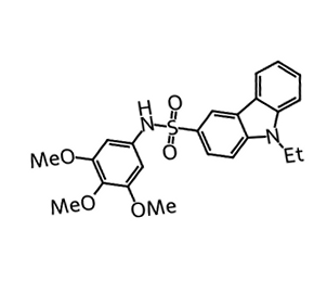 CCn1c2ccccc2c2cc(S(=O)(=O)Nc3cc(OC)c(OC)c(OC)c3)ccc21